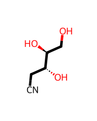 N#CC[C@@H](O)[C@@H](O)CO